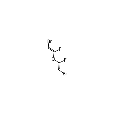 FC(=CBr)OC(F)=CBr